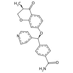 C[C@@H]1COc2cc(O[C@H](c3ccncc3)c3ccc(C(N)=O)cc3)ccc2C1=O